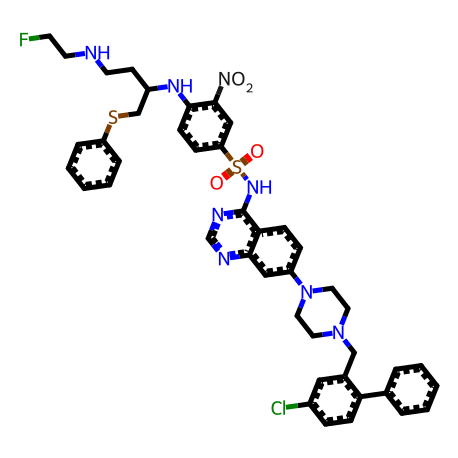 O=[N+]([O-])c1cc(S(=O)(=O)Nc2ncnc3cc(N4CCN(Cc5cc(Cl)ccc5-c5ccccc5)CC4)ccc23)ccc1NC(CCNCCF)CSc1ccccc1